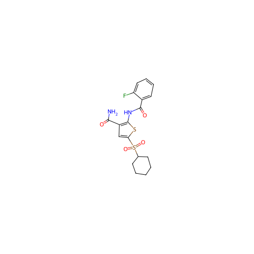 NC(=O)c1cc(S(=O)(=O)C2CCCCC2)sc1NC(=O)c1ccccc1F